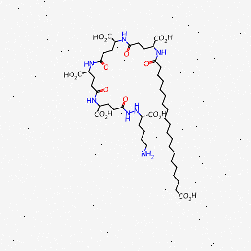 NCCCC[C@H](NNC(=O)CC[C@H](NC(=O)CC[C@H](NC(=O)CC[C@H](NC(=O)CC[C@H](NC(=O)CCCCCCCCCCCCCCCCCCC(=O)O)C(=O)O)C(=O)O)C(=O)O)C(=O)O)C(=O)O